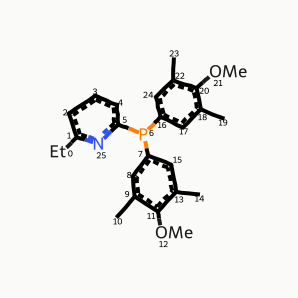 CCc1cccc(P(c2cc(C)c(OC)c(C)c2)c2cc(C)c(OC)c(C)c2)n1